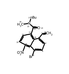 C=Cc1ccc(Br)c2c([N+](=O)[O-])ccc(C(=O)N(C)CCCC)c12